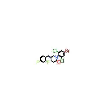 O=C1CC/C(=C\c2ccc(F)cc2F)CN1c1c(Cl)cc(Br)cc1Cl